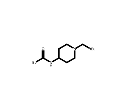 CCC(=O)NC1CCN(CC(C)(C)C)CC1